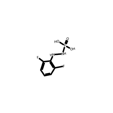 O=P(O)(O)NNc1c(F)cccc1F